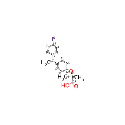 C=C(c1ccc(I)cc1)c1ccc(OC(C)(C)C(=O)O)cc1